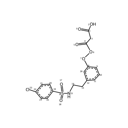 O=C(O)CC(=O)OOc1cccc(CCNS(=O)(=O)c2ccc(Cl)cc2)c1